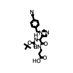 CC(C)(C)OC(=O)N[C@H](C(=O)NCCC(=O)O)c1cncn1Cc1ccc(C#N)cc1